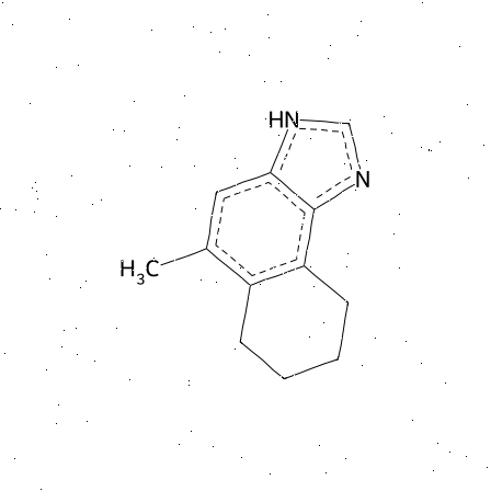 Cc1cc2[nH]cnc2c2c1CCCC2